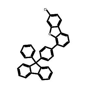 Clc1ccc2c(c1)oc1c(-c3ccc(C4(c5ccccc5)c5ccccc5-c5ccccc54)cc3)cccc12